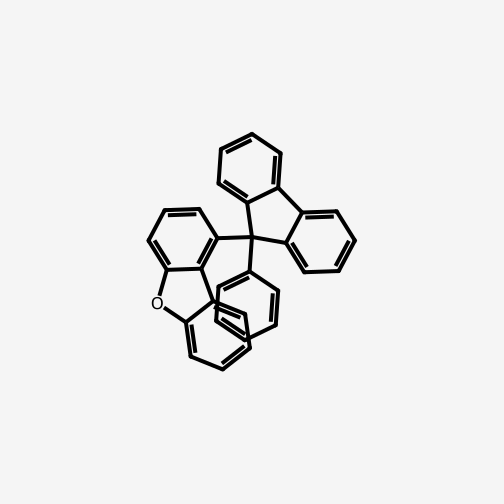 c1ccc(C2(c3cccc4oc5ccccc5c34)c3ccccc3-c3ccccc32)cc1